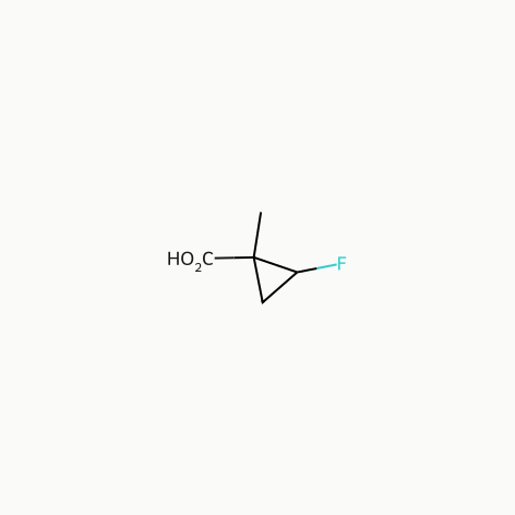 CC1(C(=O)O)CC1F